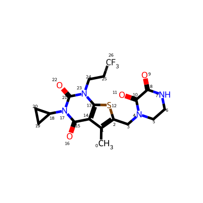 Cc1c(CN2CCNC(=O)C2=O)sc2c1c(=O)n(C1CC1)c(=O)n2CCC(F)(F)F